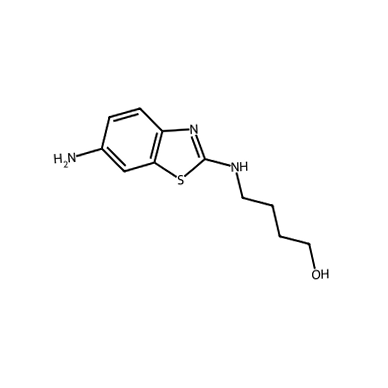 Nc1ccc2nc(NCCCCO)sc2c1